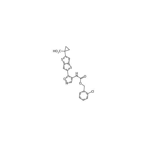 O=C(Nc1cnoc1-c1cc2sc(C3(C(=O)O)CC3)cc2s1)OCc1ccccc1Cl